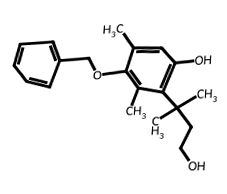 Cc1cc(O)c(C(C)(C)CCO)c(C)c1OCc1ccccc1